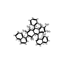 [2H]c1c([2H])c([2H])c2c(-c3cccc4ccccc34)c3c([2H])c(-c4cccc5ccccc45)c([2H])c([2H])c3c(-c3ccccc3)c2c1[2H]